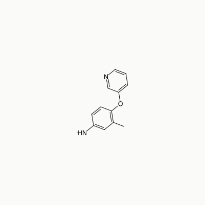 Cc1cc([NH])ccc1Oc1cccnc1